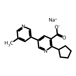 Cc1cncc(-c2cnc(C3CCCC3)c(C(=O)[O-])c2)c1.[Na+]